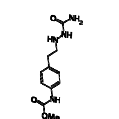 COC(=O)Nc1ccc(CCNNC(N)=O)cc1